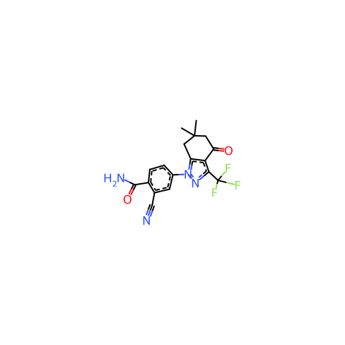 CC1(C)CC(=O)c2c(C(F)(F)F)nn(-c3ccc(C(N)=O)c(C#N)c3)c2C1